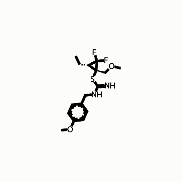 CC[C@@H]1C(F)(F)[C@]1(COC)SC(=N)NCc1ccc(OC)cc1